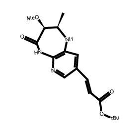 CO[C@@H]1C(=O)Nc2ncc(/C=C/C(=O)OC(C)(C)C)cc2N[C@@H]1C